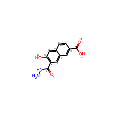 NNC(=O)c1cc2cc(C(=O)O)ccc2cc1O